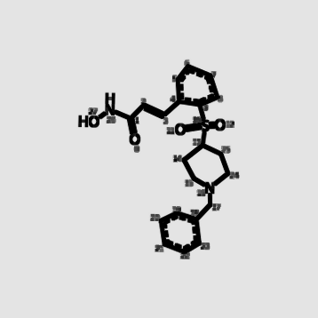 O=C(C=Cc1ccccc1S(=O)(=O)C1CCN(Cc2ccccc2)CC1)NO